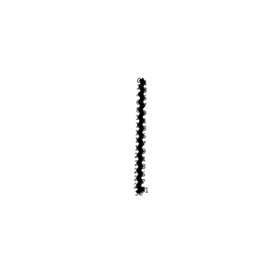 CCCCCCCCCCCCCCCCCCCCCCCCCCCCCC(C)C